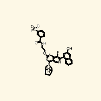 O=C(NCCOc1nc(N2CC3CCC(C2)N3)c2cnc(-c3cc(O)cc4ccccc34)c(F)c2n1)c1cccc(S(=O)(=O)F)c1